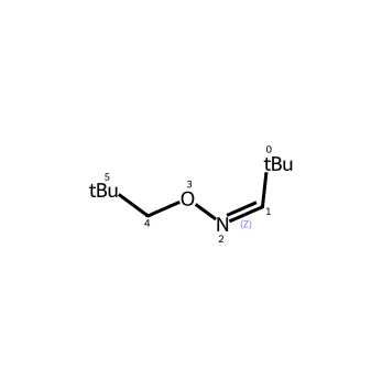 CC(C)(C)/C=N\OCC(C)(C)C